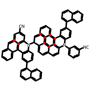 [C-]#[N+]c1cccc(N(C2=C3C=CC4=C5C(=CC=C(C=C2)C35)C(N(c2cccc(C#N)c2)c2ccc(-c3cccc5ccccc35)cc2-c2cccc3ccccc23)C=C4)c2ccc(-c3cccc4ccccc34)cc2-c2cccc3ccccc23)c1